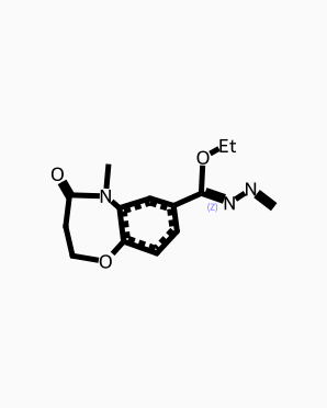 C=N/N=C(\OCC)c1ccc2c(c1)N(C)C(=O)CCO2